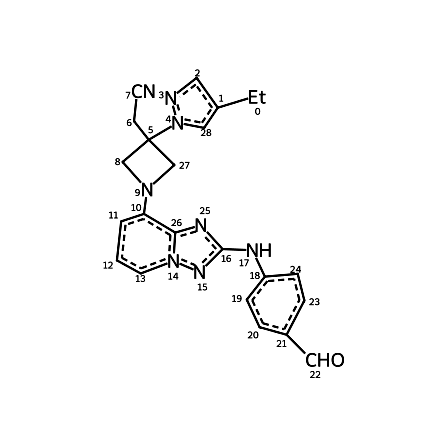 CCc1cnn(C2(CC#N)CN(c3cccn4nc(Nc5ccc(C=O)cc5)nc34)C2)c1